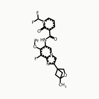 CC(C)Oc1c(NC(=O)c2cccn(C(F)F)c2=O)cn2cc(C34COC(C)(C3)C4)nc2c1F